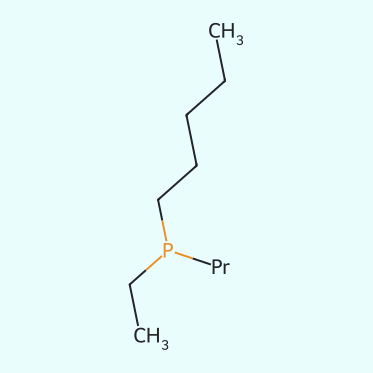 CCCCC[P]([Pr])CC